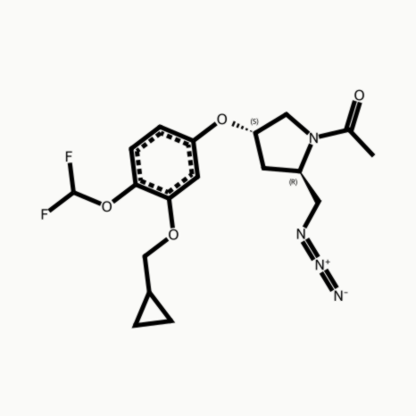 CC(=O)N1C[C@@H](Oc2ccc(OC(F)F)c(OCC3CC3)c2)C[C@@H]1CN=[N+]=[N-]